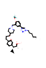 CCCCCCn1cc(-c2ccc(OC(F)(F)F)c(CN3CCC(C4CCc5ccc([C@H](C6CC6)[C@H](C)C(=O)O)cc5O4)CC3)c2)nn1